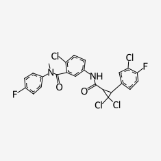 CN(C(=O)c1cc(NC(=O)C2C(c3ccc(F)c(Cl)c3)C2(Cl)Cl)ccc1Cl)c1ccc(F)cc1